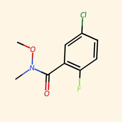 CON(C)C(=O)c1cc(Cl)ccc1F